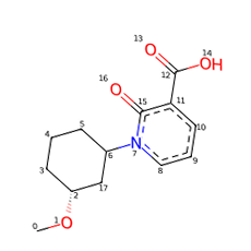 CO[C@@H]1CCCC(n2cccc(C(=O)O)c2=O)C1